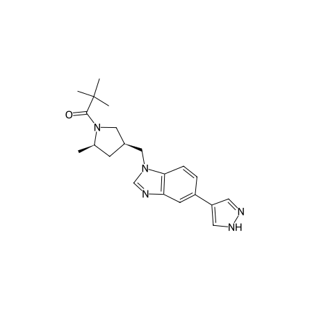 C[C@@H]1C[C@H](Cn2cnc3cc(-c4cn[nH]c4)ccc32)CN1C(=O)C(C)(C)C